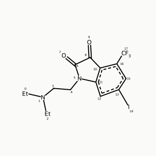 CCN(CC)CCN1C(=O)C(=O)c2c1cc(I)cc2C(F)(F)F